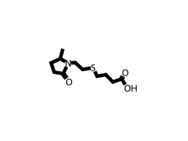 CC1CCC(=O)N1CCSCCCC(=O)O